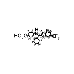 Cc1c(C(Nc2ccc(C(=O)O)cc2)C2CCCCC2)sc2cc(C(F)(F)F)cnc12